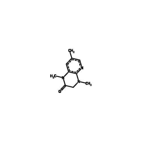 Cc1cnc2c(c1)N(C)C(=O)CN2C